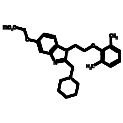 CCOC(=O)COc1ccc2c(c1)nc(CN1CCCCC1)n2CCOc1c(C)cccc1C